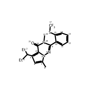 CCC(CC)c1cc(C)n2nc(-c3ccccc3SC(F)(F)F)n(C)c(=O)c12